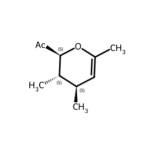 CC(=O)[C@H]1OC(C)=C[C@@H](C)[C@@H]1C